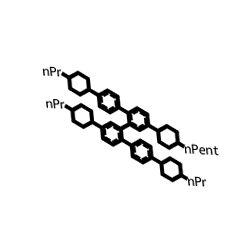 CCCCCC1CCC(c2ccc(-c3ccc(C4CCC(CCC)CC4)cc3)c(-c3cc(C4CCC(CCC)CC4)ccc3-c3ccc(C4CCC(CCC)CC4)cc3)c2)CC1